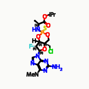 CNc1nc(N)nc2c1ncn2[C@@H]1O[C@]2(CCl)COP(=S)(N[C@@H](C)C(=O)OC(C)C)O[C@H]2[C@H]1F